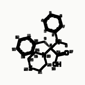 CN(c1ccccc1)[C@@](Cc1ccccc1)(C(=O)O)N1CCSCC1